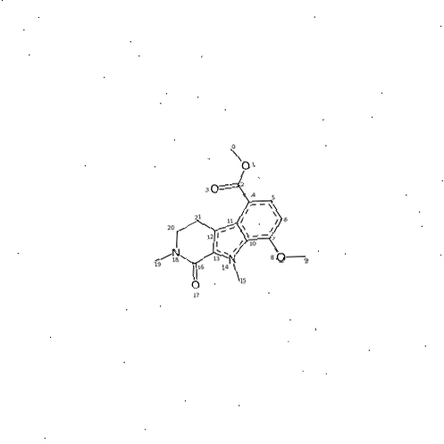 COC(=O)c1ccc(OC)c2c1c1c(n2C)C(=O)N(C)CC1